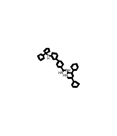 N=C(NC1NC=C(c2ccccc2)C=C1c1ccccc1)c1ccc(-c2cccc(PC3(c4ccccc4)C=CC=C3)c2)cc1